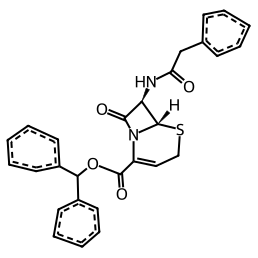 O=C(Cc1ccccc1)N[C@@H]1C(=O)N2C(C(=O)OC(c3ccccc3)c3ccccc3)=CCS[C@@H]12